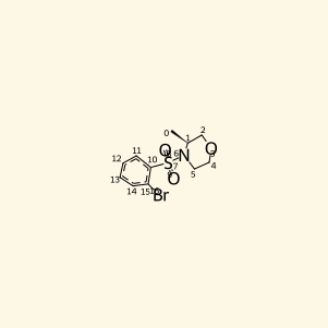 C[C@H]1COCCN1S(=O)(=O)c1ccccc1Br